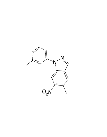 Cc1cccc(-n2ncc3cc(C)c([N+](=O)[O-])cc32)c1